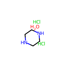 C1CNCCN1.Cl.Cl.O